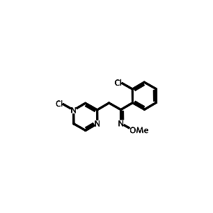 CON=C(CC1=CN(Cl)CC=N1)c1ccccc1Cl